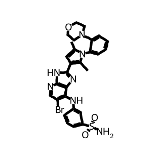 Cc1cc(-c2nc3c(Nc4cccc(S(N)(=O)=O)c4)c(Br)cnc3[nH]2)c(C)n1-c1ccccc1N1CCOCC1